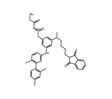 CN(CCCCN1C(=O)c2ccccc2C1=O)c1cc(C/[SH](=O)=N/C(=O)OC(C)(C)C)cc(Nc2ncc(F)c(-c3ccc(F)cc3F)n2)c1